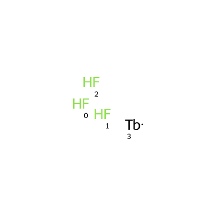 F.F.F.[Tb]